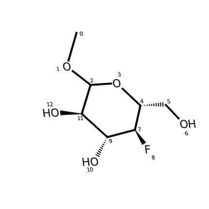 COC1O[C@H](CO)[C@@H](F)[C@H](O)[C@H]1O